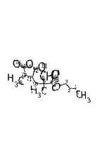 CCCCOC(=O)C(C)(C)CC1C(=O)OC(=O)C1C